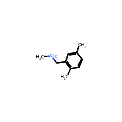 [CH2-][NH2+]Cc1cc(C)ccc1C